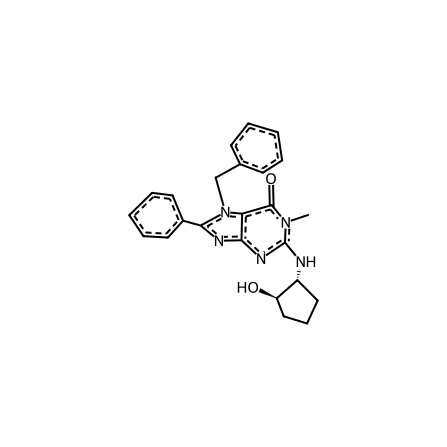 Cn1c(N[C@@H]2CCC[C@H]2O)nc2nc(-c3ccccc3)n(Cc3ccccc3)c2c1=O